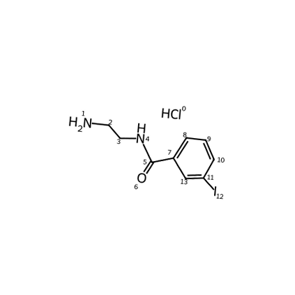 Cl.NCCNC(=O)c1cccc(I)c1